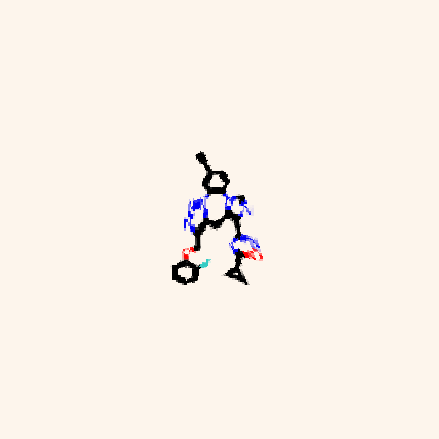 C#Cc1ccc2c(c1)-n1nnc(COc3ccccc3F)c1Cc1c(-c3noc(C4CC4)n3)ncn1-2